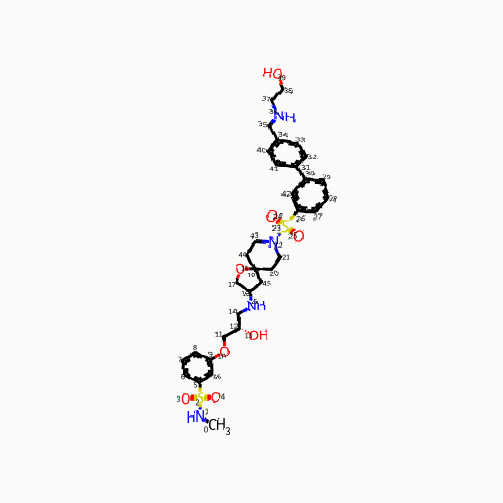 CNS(=O)(=O)c1cccc(OC[C@@H](O)CNC2COC3(CCN(S(=O)(=O)c4cccc(-c5ccc(CNCCO)cc5)c4)CC3)C2)c1